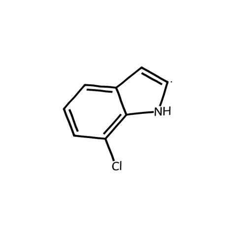 Clc1cccc2c[c][nH]c12